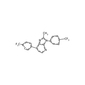 Cc1nc2c(-c3ccc(C(F)(F)F)cc3)ccnc2n1-c1ccc(C(F)(F)F)cc1